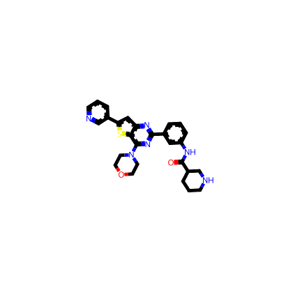 O=C(Nc1cccc(-c2nc(N3CCOCC3)c3sc(-c4cccnc4)cc3n2)c1)C1CCCNC1